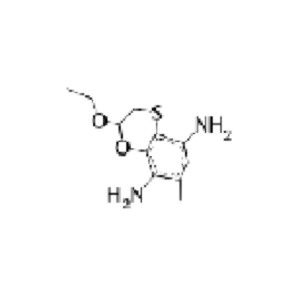 CCOC1CSc2c(N)cc(C)c(N)c2O1